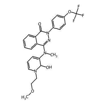 COCCN1C=CC=C(N(C)c2nn(-c3ccc(OC(F)(F)F)cc3)c(=O)c3ccccc23)C1O